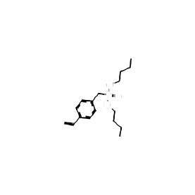 C=Cc1ccc(CP(=O)(OCCCC)OCCCC)cc1